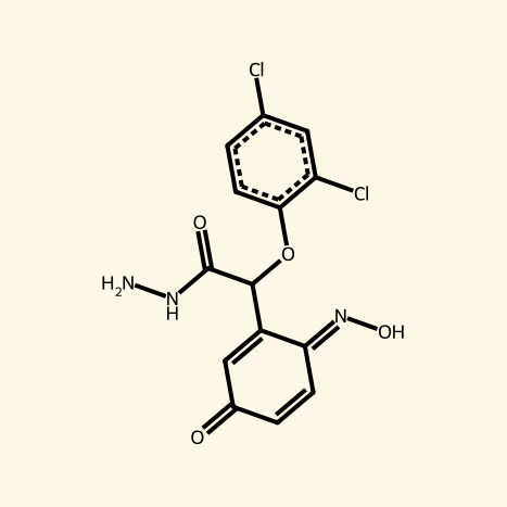 NNC(=O)C(Oc1ccc(Cl)cc1Cl)C1=CC(=O)C=CC1=NO